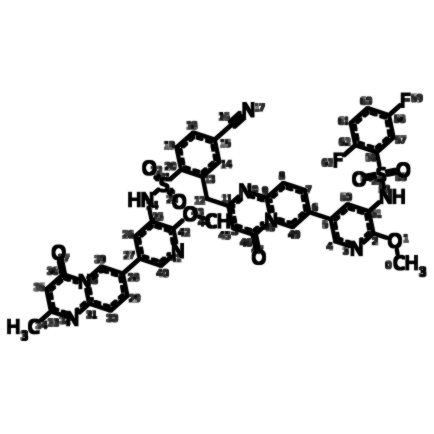 COc1ncc(-c2ccc3nc(Cc4cc(C#N)ccc4S(=O)(=O)Nc4cc(-c5ccc6nc(C)cc(=O)n6c5)cnc4OC)cc(=O)n3c2)cc1NS(=O)(=O)c1cc(F)ccc1F